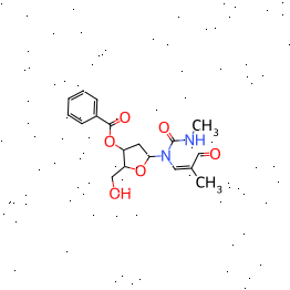 CNC(=O)N(/C=C(/C)C=O)C1CC(OC(=O)c2ccccc2)C(CO)O1